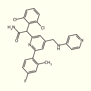 Cc1cc(F)ccc1-c1cc(CNc2ccncc2)cc(C(C(N)=O)c2c(Cl)cccc2Cl)n1